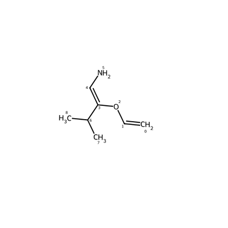 C=CO/C(=C\N)C(C)C